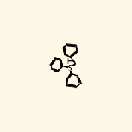 c1ccc(C[SH](c2ccccc2)c2ccccc2)cc1